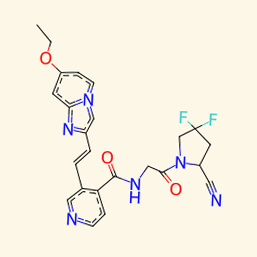 CCOc1ccn2cc(/C=C/c3cnccc3C(=O)NCC(=O)N3CC(F)(F)CC3C#N)nc2c1